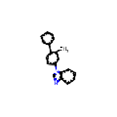 Cc1cc(-n2cnc3ccccc32)ccc1-c1ccccc1